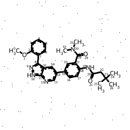 COc1ccccc1-c1n[nH]c2ncc(-c3ccc(NC(=O)CC(C)(C)C)c(C(=O)N(C)C)c3)cc12